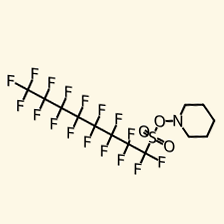 O=S(=O)(ON1CCCCC1)C(F)(F)C(F)(F)C(F)(F)C(F)(F)C(F)(F)C(F)(F)C(F)(F)C(F)(F)F